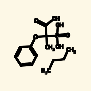 CC(Oc1ccccc1)(C(=O)O)P(=O)(O)O.CCCC